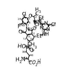 C#CC(C)Oc1cc(N2C(=O)C3=C(CCCC3)C2=O)c(F)cc1Cl.CCNc1nc(Cl)nc(NCC)n1.CP(=O)(O)CCC(N)C(=O)O